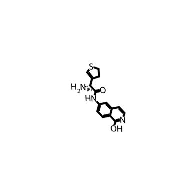 N[C@@H](C(=O)Nc1ccc2c(O)nccc2c1)C1=CSCC1